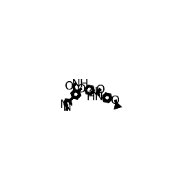 Cn1cc(-c2ccc(OC3CCN(C(=O)Nc4ccc(OC5CC5)cc4)CC3)c(C(N)=O)c2)cn1